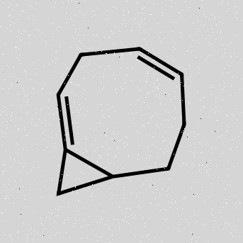 C1=CCCC2CC2=CC1